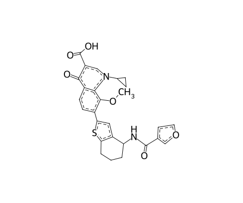 COc1c(-c2cc3c(s2)CCCC3NC(=O)c2ccoc2)ccc2c(=O)c(C(=O)O)cn(C3CC3)c12